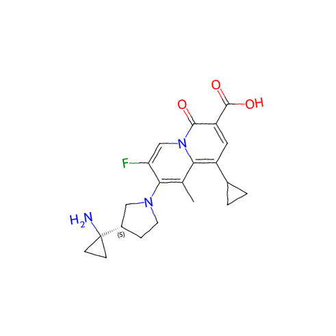 Cc1c(N2CC[C@H](C3(N)CC3)C2)c(F)cn2c(=O)c(C(=O)O)cc(C3CC3)c12